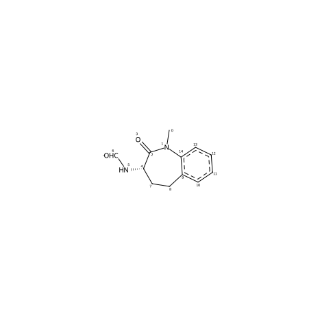 CN1C(=O)[C@@H](N[C]=O)CCc2ccccc21